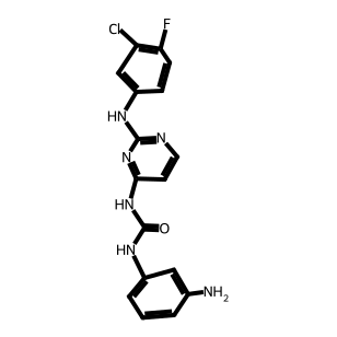 Nc1cccc(NC(=O)Nc2ccnc(Nc3ccc(F)c(Cl)c3)n2)c1